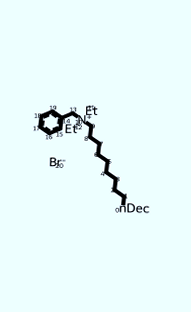 CCCCCCCCCCCCCCCCCCC[N+](CC)(CC)Cc1ccccc1.[Br-]